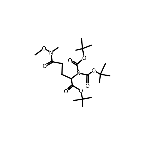 CON(C)C(=O)CCC(C(=O)OC(C)(C)C)N(C(=O)OC(C)(C)C)C(=O)OC(C)(C)C